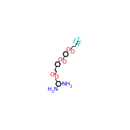 Nc1cc(N)cc(COC(=O)/C=C/c2ccc(OC(=O)c3ccc(OC(=O)CCC(F)(F)C(F)(F)F)cc3)cc2)c1